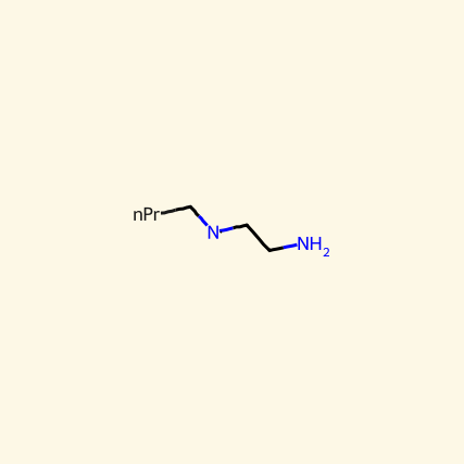 CCCC[N]CCN